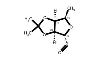 C[C@H]1O[C@H](C=O)[C@H]2OC(C)(C)O[C@H]21